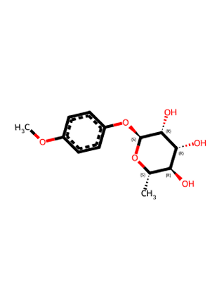 COc1ccc(O[C@@H]2O[C@@H](C)[C@H](O)[C@@H](O)[C@H]2O)cc1